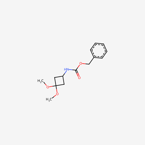 COC1(OC)CC(NC(=O)OCc2ccccc2)C1